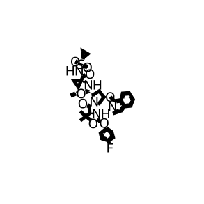 C=C[C@@H]1C[C@]1(NC(=O)[C@@H]1C[C@@H](Oc2nccc3ccccc23)CN1C(=O)[C@@H](NC(=O)Oc1ccc(F)cc1)C(C)(C)C)C(=O)NS(=O)(=O)C1CC1